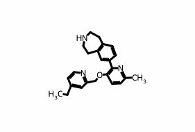 CCc1ccnc(COc2ccc(C)nc2-c2ccc3c(c2)CCNCC3)c1